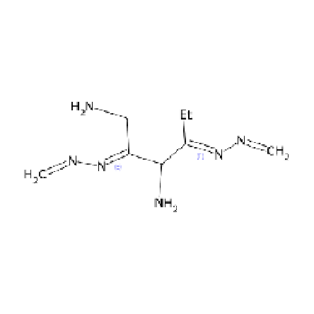 C=N/N=C(\CC)C(N)/C(CN)=N/N=C